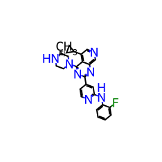 C[C@H]1CN(c2nc(-c3ccnc(Nc4ccccc4F)c3)nc3cncc(C4CC4)c23)CCN1